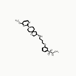 CNS(=O)(=O)c1cccc(OCCCN[C@H]2COC3(CCN(c4nccc(OC)n4)CC3)C2)c1